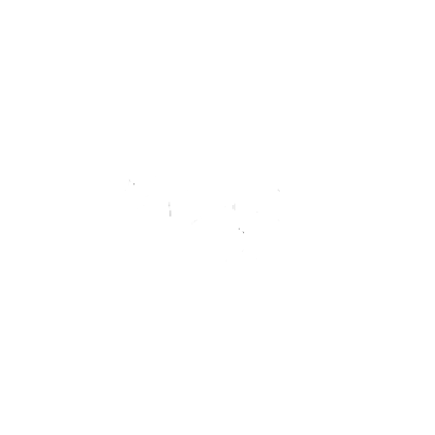 Cc1ccc(N2C(=O)SCC2(O)c2ccc(S(N)(=O)=O)cc2)cc1